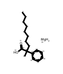 CCCCCCCCC(C)(C(=O)O)c1ccccc1.[MgH2]